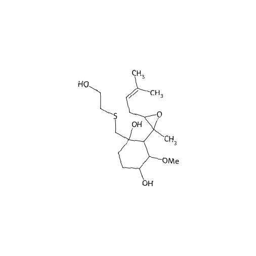 COC1C(O)CCC(O)(CSCCO)C1C1(C)OC1CC=C(C)C